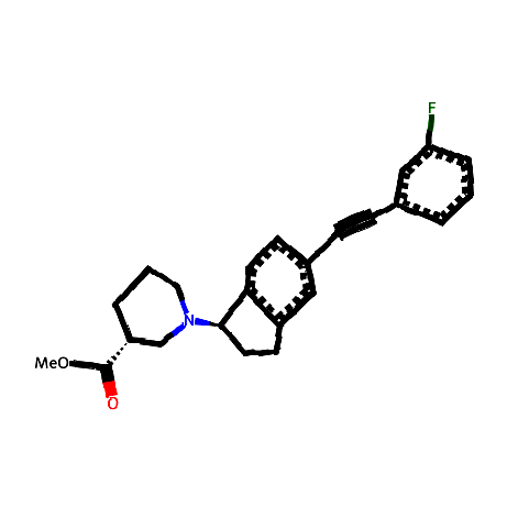 COC(=O)[C@@H]1CCCN([C@@H]2CCc3cc(C#Cc4cccc(F)c4)ccc32)C1